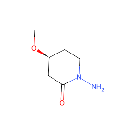 CO[C@H]1CCN(N)C(=O)C1